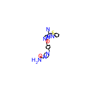 N#C/C(=C1/Nc2ccccc2S1)c1ccnc(OCc2ccc(CN3CCN(CC(N)=O)CC3)cc2)n1